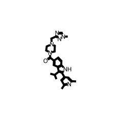 Cc1cc(-c2[nH]c3ccc(C(=O)N4CCN(Cc5ncn(C)n5)CC4)cc3c2C(C)C)cc(C)n1